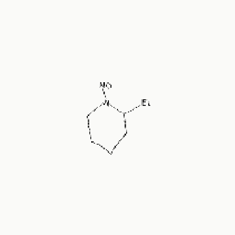 CCC1CCCCN1N=O